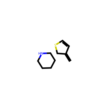 C1CCNCC1.C=C1C=CSC1